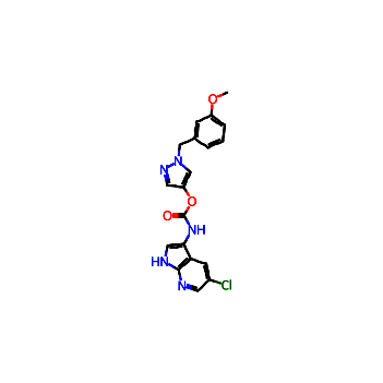 COc1cccc(Cn2cc(OC(=O)Nc3c[nH]c4ncc(Cl)cc34)cn2)c1